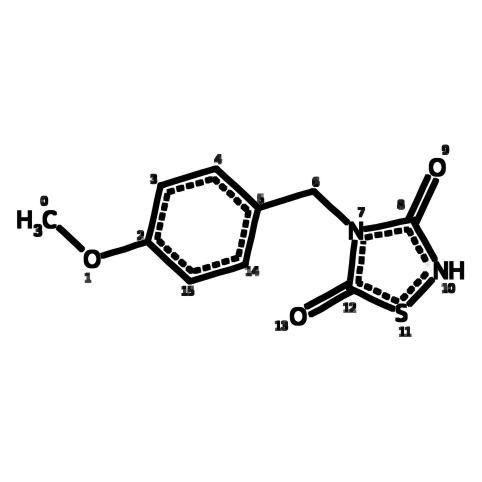 COc1ccc(Cn2c(=O)[nH]sc2=O)cc1